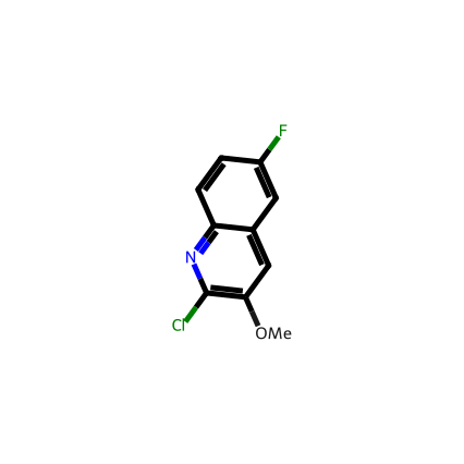 COc1cc2cc(F)ccc2nc1Cl